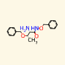 C[C@H](OCc1ccccc1)[C@H](N)C(=O)NOCc1ccccc1